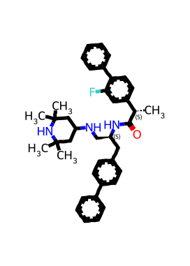 C[C@H](C(=O)N[C@H](CNC1CC(C)(C)NC(C)(C)C1)Cc1ccc(-c2ccccc2)cc1)c1ccc(-c2ccccc2)c(F)c1